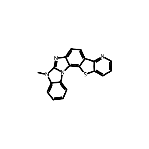 Cn1c2ccccc2n2c3c(ccc4c5ncccc5sc43)nc12